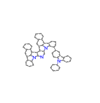 c1ccc(-n2c3ccccc3c3cc(-c4cccc5c6c7ccccc7cc7c8c9c%10c%11ccccc%11cc%11c%12ccccc%12n(c9ncc8n(c45)c76)c%11%10)ccc32)cc1